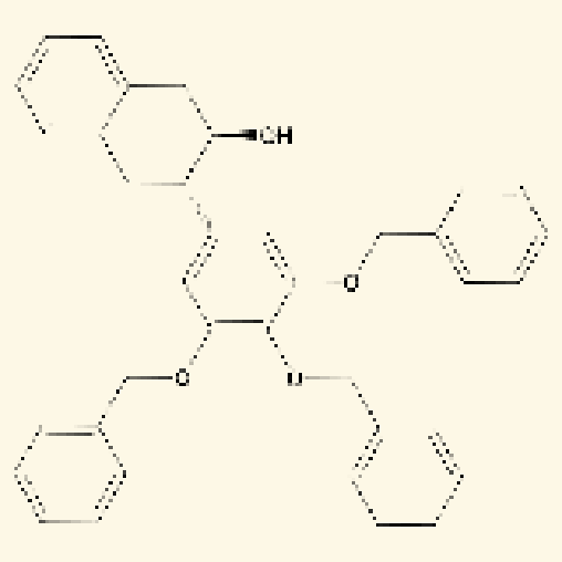 O[C@@H]1Cc2ccccc2C[C@H]1c1cc(OCc2ccccc2)c(OCc2ccccc2)c(OCc2ccccc2)c1